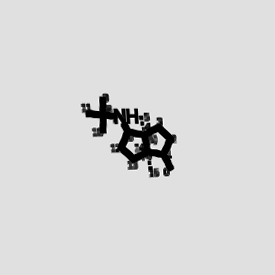 CC1CC[C@]2(C)C(NC(C)(C)C)CC[C@]12C